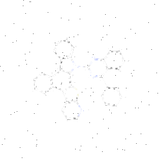 c1ccc(-c2nc(-n3c4ccccc4c4c5ccccc5c5c6cccnc6sc5c43)nc3ccccc23)cc1